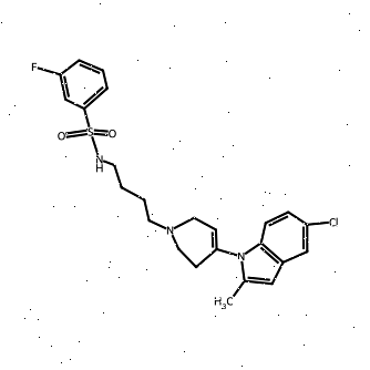 Cc1cc2cc(Cl)ccc2n1C1=CCN(CCCCNS(=O)(=O)c2cccc(F)c2)CC1